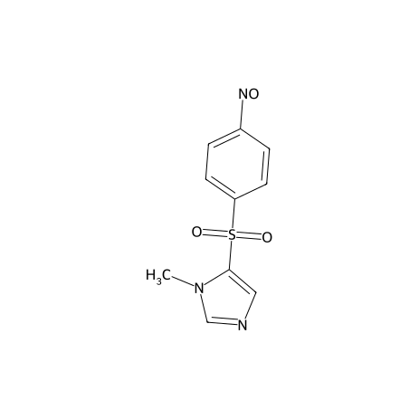 Cn1cncc1S(=O)(=O)c1ccc(N=O)cc1